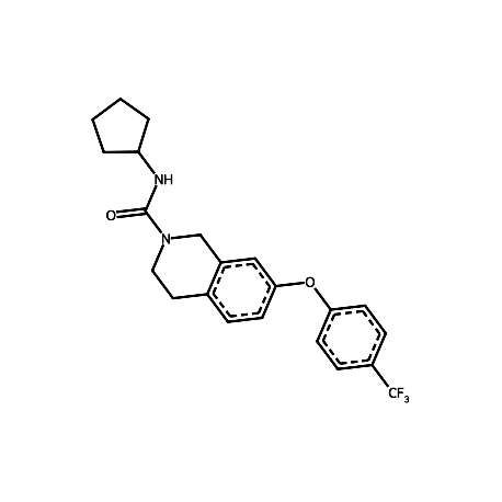 O=C(NC1CCCC1)N1CCc2ccc(Oc3ccc(C(F)(F)F)cc3)cc2C1